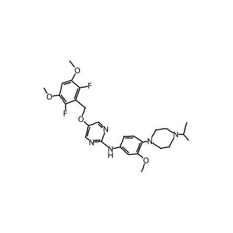 COc1cc(Nc2ncc(OCc3c(F)c(OC)cc(OC)c3F)cn2)ccc1N1CCN(C(C)C)CC1